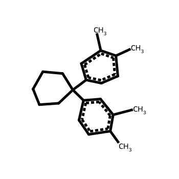 Cc1ccc(C2(c3ccc(C)c(C)c3)CCCCC2)cc1C